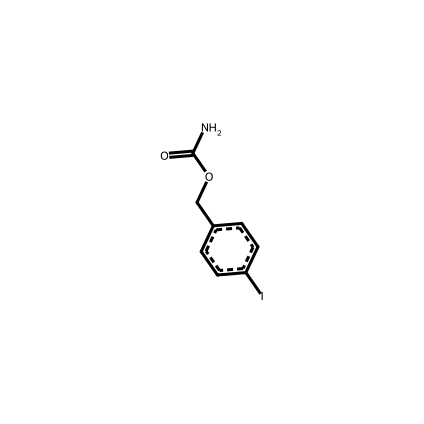 NC(=O)OCc1ccc(I)cc1